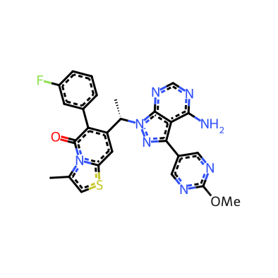 COc1ncc(-c2nn([C@@H](C)c3cc4scc(C)n4c(=O)c3-c3cccc(F)c3)c3ncnc(N)c23)cn1